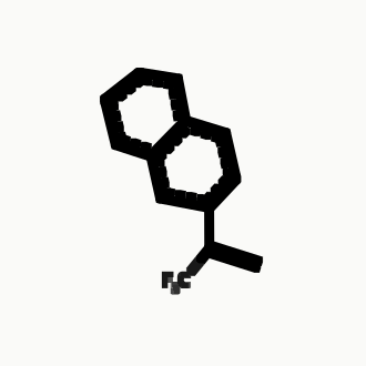 C=C(c1ccc2ccccc2c1)C(F)(F)F